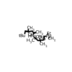 C=C(CC(C)(C)CC(C)(C)C)NC(C)(C)CC(C)(C)CC[PH](=C)CC